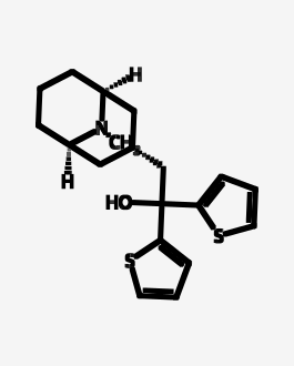 CN1[C@@H]2CCC[C@H]1C[C@H](CC(O)(c1cccs1)c1cccs1)C2